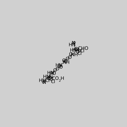 O=CCC(NC(=O)[C@H](CCCCNC(=O)CCOCCOCCOC(=O)NCCCCNC(=O)OCCOCCOCCC(=O)NCCCC[C@H](NC(=O)CCCCNc1ccccn1)C(=O)NC(CC(=O)O)c1cc(Cl)cc(Cl)c1)NC(=O)CCCCNc1ccccn1)c1cc(Cl)cc(Cl)c1